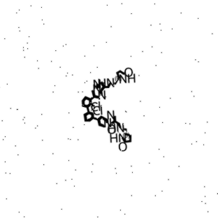 O=C1CC[C@H](CNCc2cnn3cc(-c4cccc(-c5cccc(-c6ccn7c(=O)c(CNC[C@@H]8CCC(=O)N8)cnc7c6)c5Cl)c4Cl)cnc23)N1